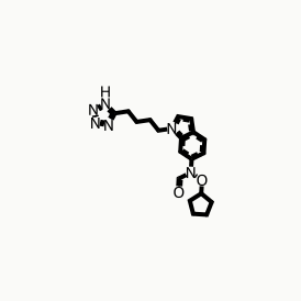 O=CN(OC1CCCC1)c1ccc2ccn(CCCCc3nnn[nH]3)c2c1